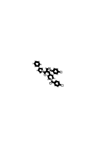 O=C(c1ccc(Cl)cc1)N1CCC(c2c(C(=O)N3CC[C@H](c4ccccc4)C3)cnn2-c2ccc(Cl)cc2)CC1